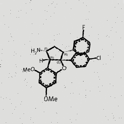 COc1cc(OC)c2c(c1)O[C@@]1(c3ccc(Cl)cc3)[C@@H](c3cccc(F)c3)C[C@@H](N)[C@@H]21